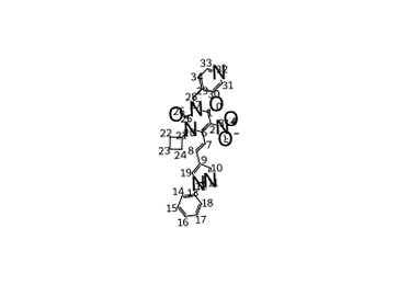 O=c1c([N+](=O)[O-])c(C=Cc2cnn(-c3ccccc3)c2)n(C2CCC2)c(=O)n1Cc1ccncc1